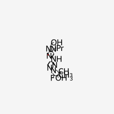 CC(C)n1c(CO)nc2cnc(Nc3ccnc(N4CC(F)C(O)C(C)(C)C4)n3)cc21